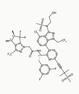 C[C@@H]1[C@H](I)c2c(C(F)(F)F)nn(CC(=O)N[C@@H](Cc3cc(F)cc(F)c3)c3nc(C#CC(C)(C)S(C)(=O)=O)ccc3-c3ccc(Cl)c4c(N(CCO)S(C)(=O)=O)nn(CC(F)(F)F)c34)c2C1(F)F